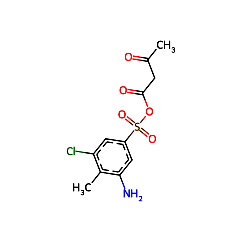 CC(=O)CC(=O)OS(=O)(=O)c1cc(N)c(C)c(Cl)c1